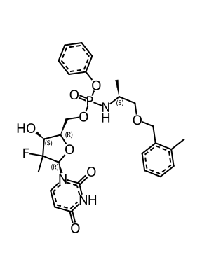 Cc1ccccc1COC[C@H](C)NP(=O)(OC[C@H]1O[C@@H](n2ccc(=O)[nH]c2=O)C(C)(F)[C@H]1O)Oc1ccccc1